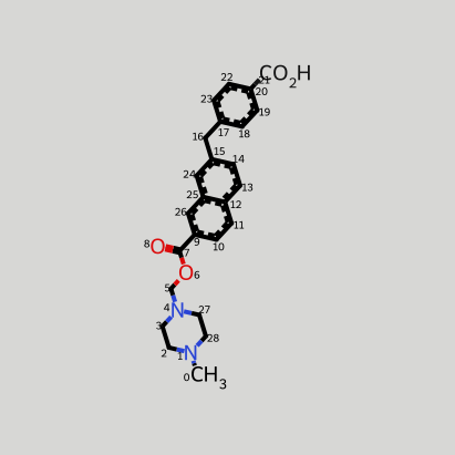 CN1CCN(COC(=O)c2ccc3ccc(Cc4ccc(C(=O)O)cc4)cc3c2)CC1